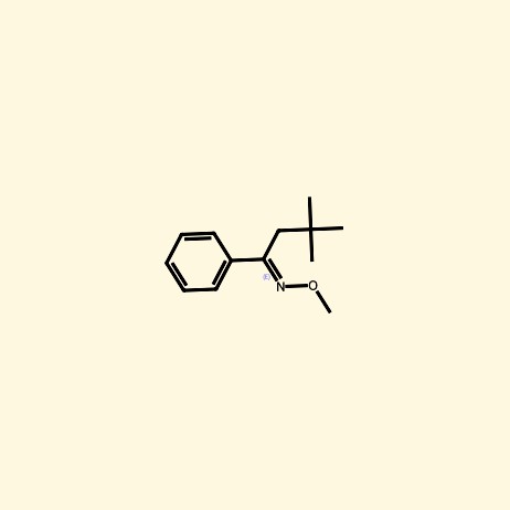 CO/N=C(\CC(C)(C)C)c1ccccc1